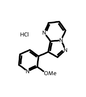 COc1ncccc1-c1cnn2cccnc12.Cl